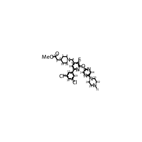 COC(=O)CC1CCN(Cc2cc(-c3cc(Cl)cc(Cl)c3)nc(Oc3cnc(N4CCN(C)CC4)cn3)c2F)CC1